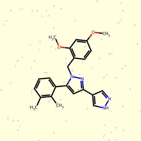 COc1ccc(Cn2nc(-c3cn[nH]c3)cc2-c2cccc(C)c2C)c(OC)c1